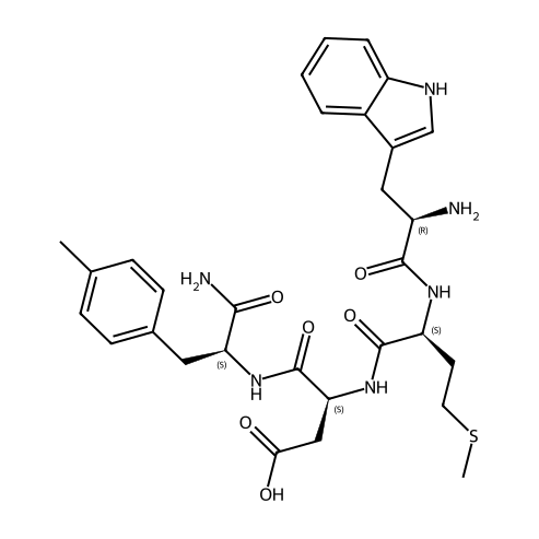 CSCC[C@H](NC(=O)[C@H](N)Cc1c[nH]c2ccccc12)C(=O)N[C@@H](CC(=O)O)C(=O)N[C@@H](Cc1ccc(C)cc1)C(N)=O